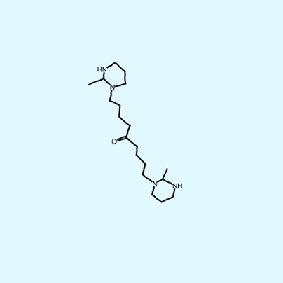 CC1NCCCN1CCCCC(=O)CCCCN1CCCNC1C